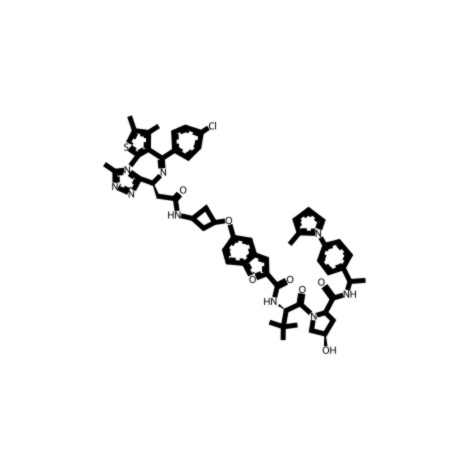 Cc1sc2c(c1C)C(c1ccc(Cl)cc1)=N[C@@H](CC(=O)NC1CC(Oc3ccc4oc(C(=O)N[C@H](C(=O)N5C[C@H](O)CC5C(=O)NC(C)c5ccc(-n6cccc6C)cc5)C(C)(C)C)cc4c3)C1)c1nnc(C)n1-2